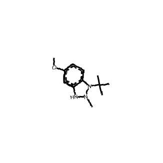 COc1ccc2c(c1)NN(C)N2C(C)(C)C